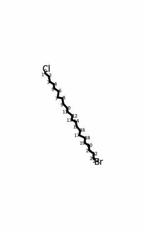 ClCCCCCCCCCCCCCCCCCCCCCCCBr